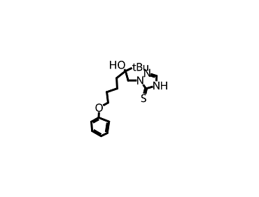 CC(C)(C)C(O)(CCCCOc1ccccc1)Cn1nc[nH]c1=S